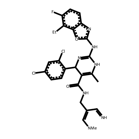 CCc1c(F)ccc2nc(NC3=NC(c4ccc(Cl)cc4Cl)C(C(=O)NC/C(C=N)=C/NC)=C(C)N3)oc12